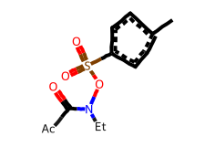 CCN(OS(=O)(=O)c1ccc(C)cc1)C(=O)C(C)=O